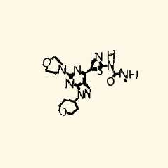 CNC(=O)Nc1ncc(-c2nc(N3CCOCC3)nc3c2cnn3C2CCOCC2)s1